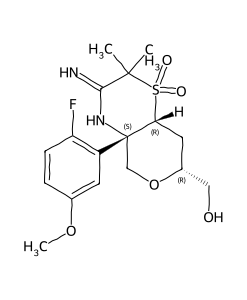 COc1ccc(F)c([C@]23CO[C@@H](CO)C[C@H]2S(=O)(=O)C(C)(C)C(=N)N3)c1